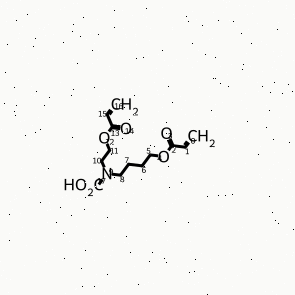 C=CC(=O)OCCCCN(CCOC(=O)C=C)C(=O)O